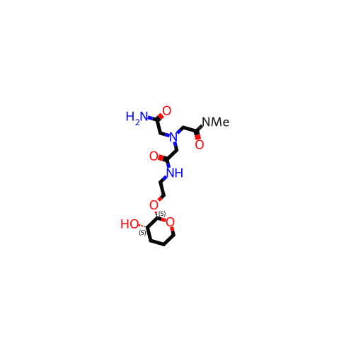 CNC(=O)CN(CC(N)=O)CC(=O)NCCO[C@@H]1OCCC[C@@H]1O